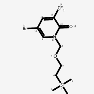 C[Si](C)(C)CCOCn1cc(Br)cc(C(F)(F)F)c1=O